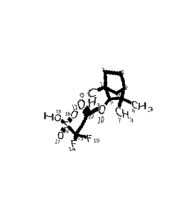 CC12CCC(C1)C(C)(C)C2OC(=O)C(F)(F)S(=O)(=O)O